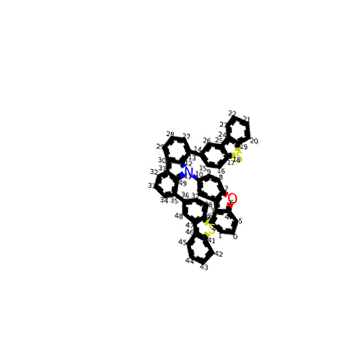 c1ccc2c(c1)oc1ccc(-n3c4c(-c5ccc6sc7ccccc7c6c5)cccc4c4cccc(-c5ccc6sc7ccccc7c6c5)c43)cc12